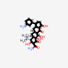 CN(C)[C@H]1C(O)=C(C(N)=O)C(=O)[C@@]2(O)C(O)=C3C(=O)c4c(O)ccc(-c5cccc(N)c5)c4C[C@@H]3C[C@H]12